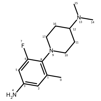 Cc1cc(N)cc(F)c1N1CCC(N(C)C)CC1